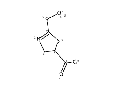 CSC1=NCC(C(=O)Cl)S1